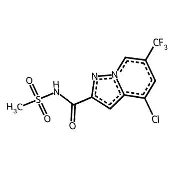 CS(=O)(=O)NC(=O)c1cc2c(Cl)cc(C(F)(F)F)cn2n1